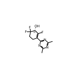 Cc1nc(C)nc(C2=C(F)[C@@H](O)C(F)(F)CC2)n1